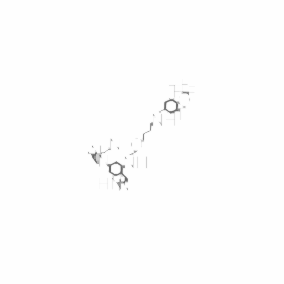 N#Cc1nncn1-c1cc(NCCOCCCCNCc2cc(F)c(OC(F)(F)F)c(F)c2)c2cn[nH]c2c1